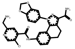 NCc1cc(C(=O)Nc2ccc3c(c2)-c2c(c(C(N)=O)nn2-c2ccc4c(c2)OCO4)CC3)c(Cl)cn1